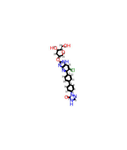 O=c1[nH]cnn1-c1ccc(-c2ccc(-c3nc4nc(O[C@H]5CO[C@H](CO)[C@@H](O)C5)[nH]c4cc3Cl)cc2)cc1